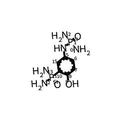 NP(N)(=O)Nc1ccc(O)c(P(N)(N)=O)c1